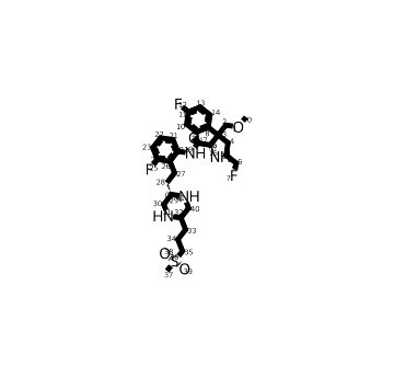 COCC(CCCF)(c1ccc(F)cc1)[C@H](N)C(=O)Nc1cccc(F)c1CC[C@H]1CNC(CCCS(C)(=O)=O)CN1